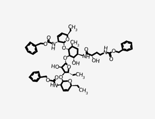 CC[C@H]1C=C[C@@H](NC(=O)OCc2ccccc2)[C@@H](O[C@H]2[C@@H](O)[C@H](O[C@@H]3[C@@H](O)[C@H](NC(=O)[C@@H](O)CCNC(=O)OCc4ccccc4)C[C@H](C)[C@H]3O[C@H]3O[C@H](CC)C=C[C@H]3NC(=O)OCc3ccccc3)O[C@@H]2CC)O1